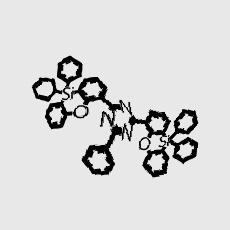 C1=CCC([Si]2(c3ccccc3)c3ccccc3Oc3c(-c4nc(-c5ccccc5)nc(-c5cccc6c5Oc5ccccc5[Si]6(c5ccccc5)c5ccccc5)n4)cccc32)C=C1